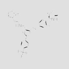 Cc1cc(OCc2sc(-c3ccc(C(F)(F)F)cc3)nc2CNCCC2CCCN2C)ccc1-c1noc(=O)[nH]1